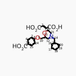 O=C(O)C=CC(=O)O.O=C(O)c1ccc(OCC2CN(Cc3ccccc3)CCO2)cc1